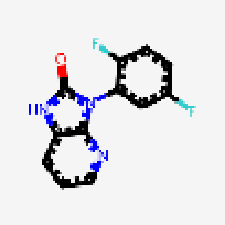 O=c1[nH]c2cccnc2n1-c1cc(F)ccc1F